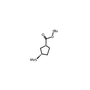 CS[C@@H]1CCN(C(=O)OC(C)(C)C)C1